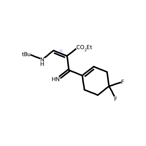 CCOC(=O)/C(=C/NC(C)(C)C)C(=N)C1=CCC(F)(F)CC1